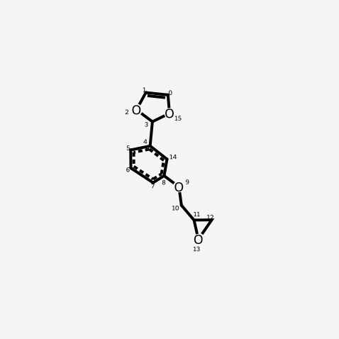 C1=COC(c2cccc(OCC3CO3)c2)O1